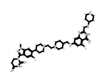 Cn1nc(N2CCC(=O)NC2=O)c2cc(F)c(C3CCN(CCN4CCC(COc5cc(F)c6c(=O)[nH]c(CSC7CCOCC7)nc6c5)CC4)CC3)cc21